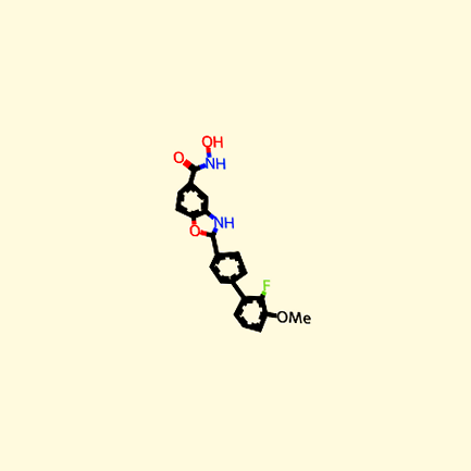 COc1cccc(-c2ccc(C3Nc4cc(C(=O)NO)ccc4O3)cc2)c1F